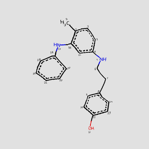 Cc1ccc(NCCc2ccc(O)cc2)cc1Nc1ccccc1